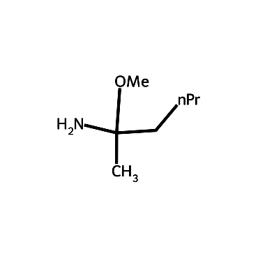 CCCCC(C)(N)OC